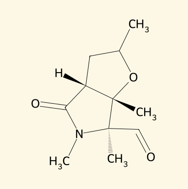 CC1C[C@H]2C(=O)N(C)[C@](C)(C=O)[C@@]2(C)O1